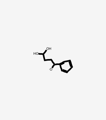 [O]C(CCC(O)O)c1ccccc1